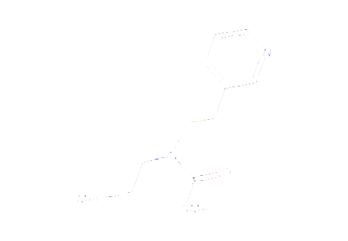 CNC(=O)N(CCOC)SCc1cccnc1